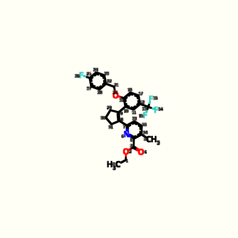 CCOC(=O)c1nc(C2=C(c3cc(C(F)(F)F)ccc3OCc3ccc(F)cc3)CCC2)ccc1C